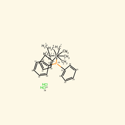 C[SiH](C)[Ti]([CH3])([CH3])([CH3])([CH3])([CH3])([C]1=CC=CC1)[P](c1ccccc1)c1ccccc1.Cl.Cl